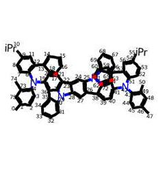 Cc1ccc(N(c2ccc(C(C)C)cc2-c2ccccc2)c2ccc3c4cc5c(cc4n4c6ccccc6c2c34)c2ccc(N(c3ccc(C)cc3C)c3ccc(C(C)C)cc3-c3ccccc3)c3c4ccccc4n5c23)c(C)c1